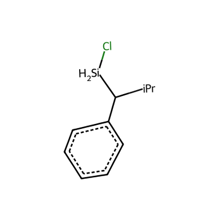 CC(C)C([SiH2]Cl)c1ccccc1